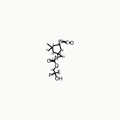 CC1(C)CC(N=C=O)CC2(CN2C(=O)OCC(O)(F)F)C1